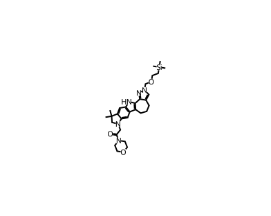 CC1(C)CN(CC(=O)N2CCOCC2)c2cc3c4c([nH]c3cc21)-c1nn(COCC[Si](C)(C)C)cc1CCC4